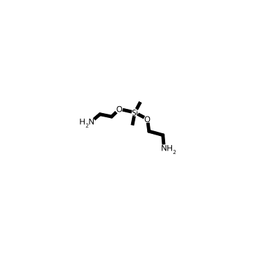 C[Si](C)(OCCN)OCCN